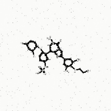 CCCS(=O)(=O)Nc1ccc(Oc2ccc(F)cc2F)c(-c2cn(C)c(=O)c3cc(-c4cc(C)c(OCCO)c(C)c4)oc23)c1